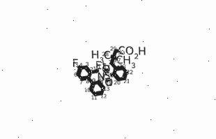 CCC1c2cc(F)ccc2-c2ccccc2N1S(=O)(=O)c1ccccc1CC(C)(C)CC(=O)O